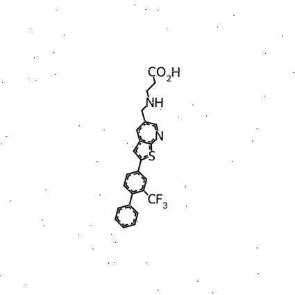 O=C(O)CCNCc1cnc2sc(-c3ccc(-c4ccccc4)c(C(F)(F)F)c3)cc2c1